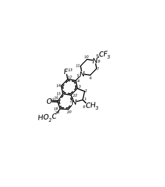 CC1Cc2c(N3CCN(C(F)(F)F)CC3)c(F)cc3c(=O)c(C(=O)O)cn1c23